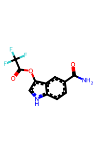 NC(=O)c1ccc2[nH]cc(OC(=O)C(F)(F)F)c2c1